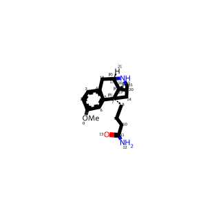 COc1ccc2c(c1)[C@]1(CCCC(N)=O)CCN[C@H](C2)[C@@H]1C